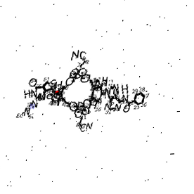 CO[C@H]1[C@H]2OP(=O)(OCCC#N)OCC34C[C@@H]3[C@@H](n3cnc5c(NC(=O)c6ccccc6)ncnc53)[C@H](C)[C@@H]4OP(=O)(OCCC#N)OC[C@H]1O[C@H]2c1scc2c(=O)[nH]c(/N=C/N(C)C)nc12